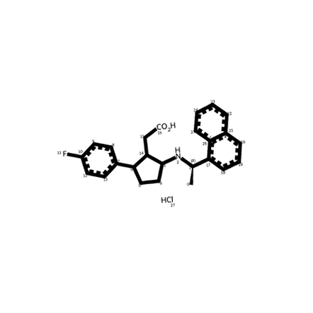 C[C@@H](NC1CCC(c2ccc(F)cc2)C1CC(=O)O)c1cccc2ccccc12.Cl